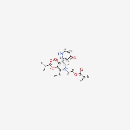 CCc1c(OC(=O)C(C)C)c(=O)ccn1CCOC(=O)C(C)C.O=c1cc[nH]cc1